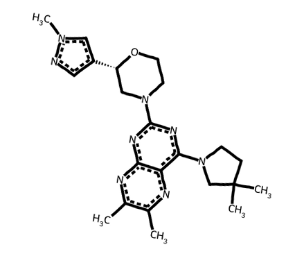 Cc1nc2nc(N3CCO[C@@H](c4cnn(C)c4)C3)nc(N3CCC(C)(C)C3)c2nc1C